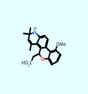 COc1cccc2c1-c1ccc3c(c1C(CC(=O)O)O2)C(C)=CC(C)(C)N3